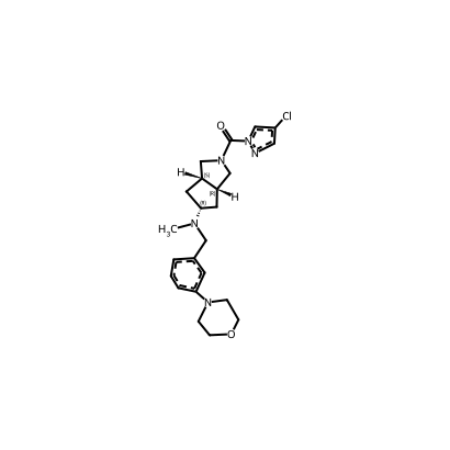 CN(Cc1cccc(N2CCOCC2)c1)[C@@H]1C[C@@H]2CN(C(=O)n3cc(Cl)cn3)C[C@@H]2C1